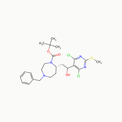 CSc1nc(Cl)c(C(O)C[C@@H]2CCN(Cc3ccccc3)CCN2C(=O)OC(C)(C)C)c(Cl)n1